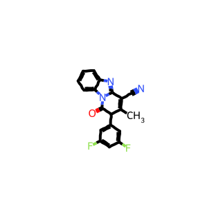 CC1=C(C#N)c2nc3ccccc3n2C(=O)C1c1cc(F)cc(F)c1